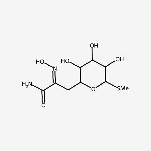 CSC1OC(CC(=NO)C(N)=O)C(O)C(O)C1O